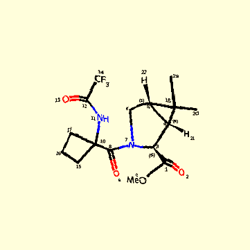 COC(=O)[C@@H]1[C@@H]2[C@H](CN1C(=O)C1(NC(=O)C(F)(F)F)CCC1)C2(C)C